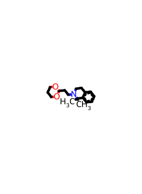 CC1(C)c2ccccc2CCN1CCC1OCCCO1